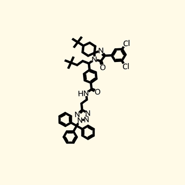 CC(C)(C)CCC(c1ccc(C(=O)NCCc2nnn(C(c3ccccc3)(c3ccccc3)c3ccccc3)n2)cc1)N1C(=O)C(c2cc(Cl)cc(Cl)c2)=NC12CCC(C(C)(C)C)CC2